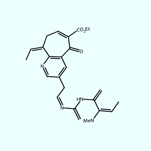 C=C(/N=C\Cc1cnc2c(c1)C(=O)C(C(=O)OCC)=CC/C2=C/C)NC(=C)/C(=C\C)NC